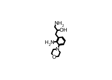 NCC(O)Cc1cccc(N2CCOCC2)c1N